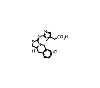 Cl.O=C(O)Cc1cnc(/N=C2/SC[C@@H]3Cc4ccccc4CN23)s1